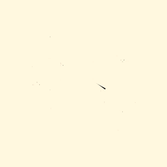 COc1ccc(Cl)c(Cl)c1[C@@H]1CCN2C(=O)CN=C(C)[C@@H]2C1